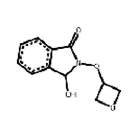 O=C1c2ccccc2C(O)N1OC1COC1